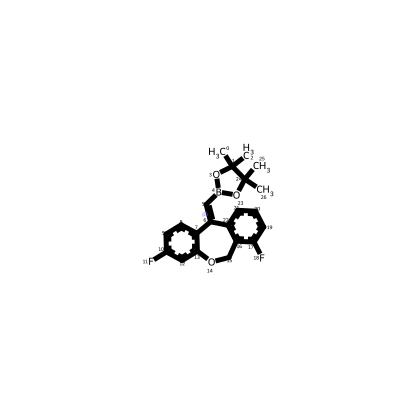 CC1(C)OB(/C=C2/c3ccc(F)cc3OCc3c(F)cccc32)OC1(C)C